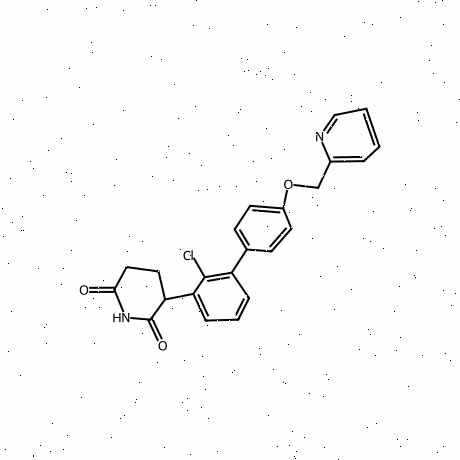 O=C1CCC(c2cccc(-c3ccc(OCc4ccccn4)cc3)c2Cl)C(=O)N1